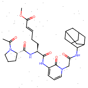 COC(=O)/C=C/CC[C@H](NC(=O)[C@@H]1CCCN1C(C)=O)C(=O)Nc1cccn(CC(=O)NC2C3CC4CC(C3)CC2C4)c1=O